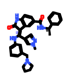 C[C@@H](NC(=O)c1ccc2c(c1)/C(=C(/Nc1cccc(CN3CCCC3)c1)c1cnn(C)c1)C(=O)N2)c1ccccc1